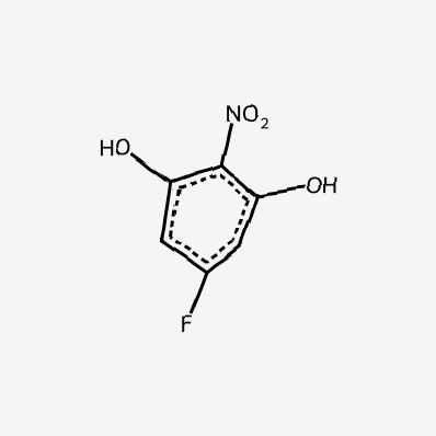 O=[N+]([O-])c1c(O)cc(F)cc1O